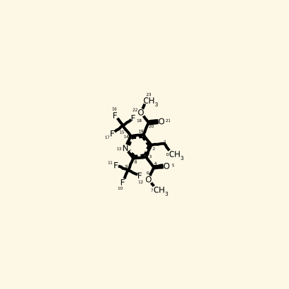 CCc1c(C(=O)OC)c(C(F)(F)F)nc(C(F)(F)F)c1C(=O)OC